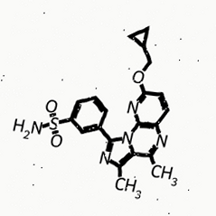 Cc1nc(-c2cccc(S(N)(=O)=O)c2)n2c1c(C)nc1ccc(OCC3CC3)nc12